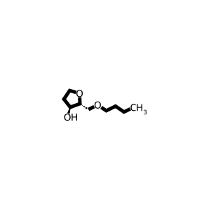 CCCCOC[C@H]1OCC[C@@H]1O